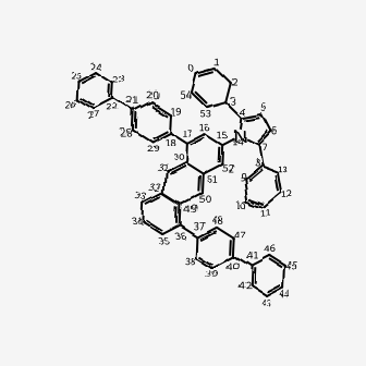 C1=CCC(c2ccc(-c3ccccc3)n2-c2cc(-c3ccc(-c4ccccc4)cc3)c3cc4cccc(-c5ccc(-c6ccccc6)cc5)c4cc3c2)C=C1